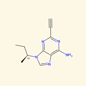 C#Cc1nc(N)c2ncn([C@@H](C)CC)c2n1